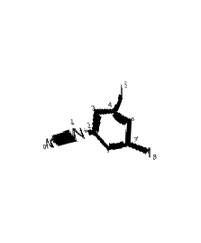 N#[N+]c1cc(I)cc(I)c1